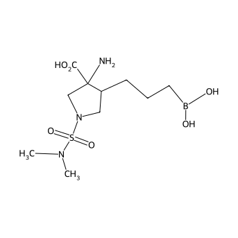 CN(C)S(=O)(=O)N1CC(CCCB(O)O)C(N)(C(=O)O)C1